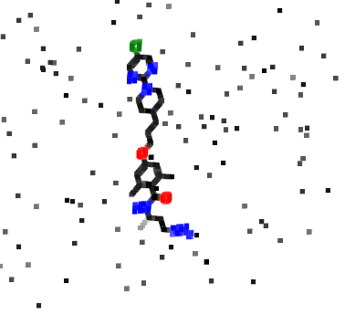 Cc1cc(OCCCC2CCN(c3ncc(Cl)cn3)CC2)cc(C)c1C(=O)N[C@@H](C)CCN